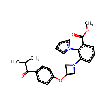 COC(=O)c1cccc(N2CC(Oc3ccc(C(=O)C(C)C)cc3)C2)c1-n1cccc1